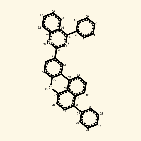 c1ccc(-c2nc(-c3ccc4c(c3)-c3cccc5c(-c6ccccc6)ccc(c35)O4)nc3ccccc23)cc1